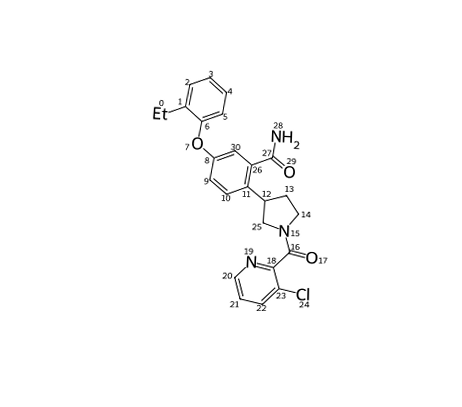 CCc1ccccc1Oc1ccc(C2CCN(C(=O)c3ncccc3Cl)C2)c(C(N)=O)c1